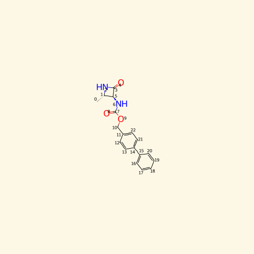 C[C@@H]1NC(=O)[C@H]1NC(=O)OCc1ccc(-c2ccccc2)cc1